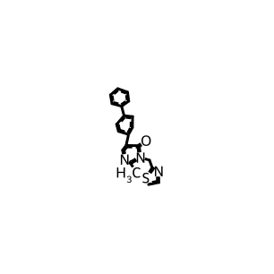 Cc1ncc(-c2ccc(-c3ccccc3)cc2)c(=O)n1Cc1nccs1